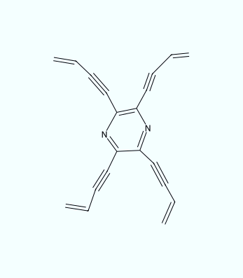 C=CC#Cc1nc(C#CC=C)c(C#CC=C)nc1C#CC=C